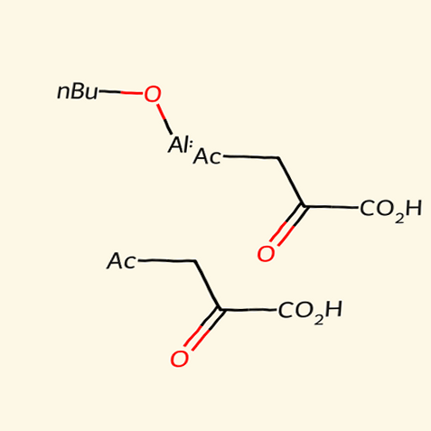 CC(=O)CC(=O)C(=O)O.CC(=O)CC(=O)C(=O)O.CCCC[O][Al]